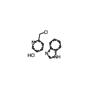 Cl.ClCc1ccccn1.c1ccc2[nH]cnc2c1